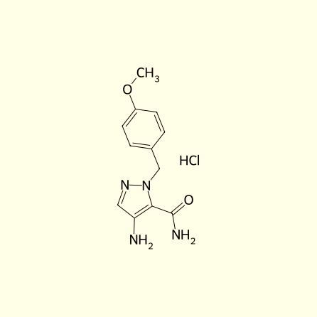 COc1ccc(Cn2ncc(N)c2C(N)=O)cc1.Cl